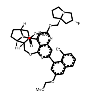 CCc1cccc2cc(OCOC)cc(-c3cc4nc(OC[C@@]56CCCN5C[C@H](F)C6)nc5c4c(n3)OC[C@@H]3[C@@H]4CC[C@H](CN53)N4C(=O)OC(C)(C)C)c12